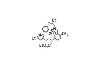 CCOC(=O)CC(CCc1cn(CC)nn1)c1ccc(C(F)(F)F)c(CN2C[C@@H](CC)Oc3ccccc3S2(=O)=O)c1